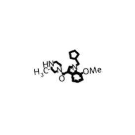 COc1cccc2c(C(=O)N3CCN[C@@H](C)C3)cn(CC3CCCC3)c12